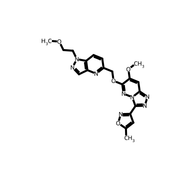 COCCn1ncc2nc(COc3nn4c(-c5cc(C)on5)nnc4cc3OC)ccc21